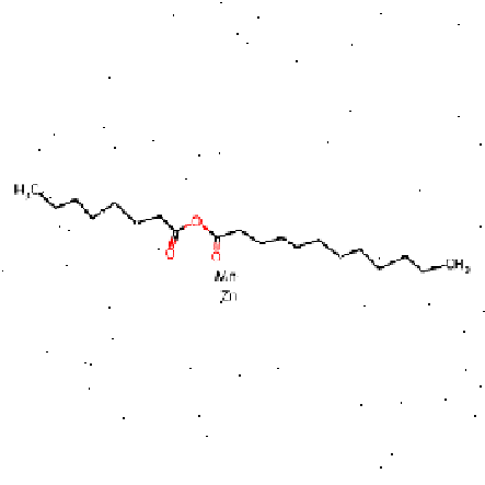 CCCCCCCCCCCC(=O)OC(=O)CCCCCCC.[Mn].[Zn]